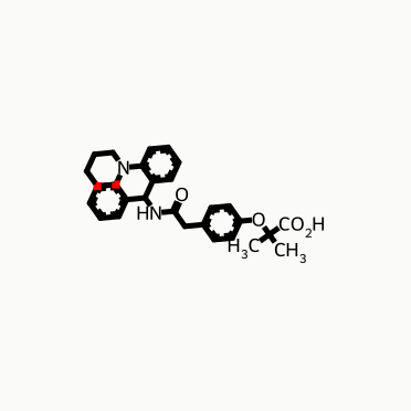 CC(C)(Oc1ccc(CC(=O)NC(c2ccccc2)c2ccccc2N2CCCCC2)cc1)C(=O)O